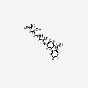 CCN(CC)C[C@H](O)CNCC(=O)Nc1ccc2c(c1)c1ccccc1n2CC